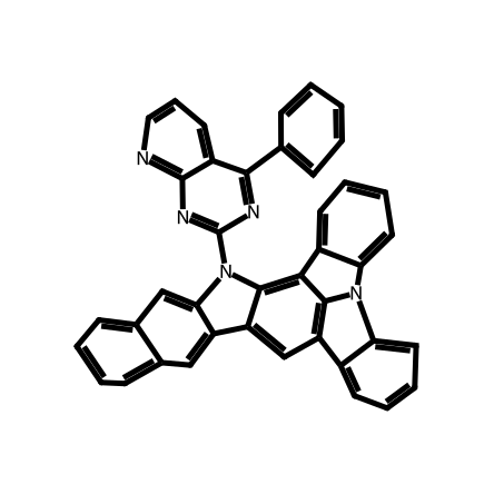 c1ccc(-c2nc(-n3c4cc5ccccc5cc4c4cc5c6ccccc6n6c7ccccc7c(c43)c56)nc3ncccc23)cc1